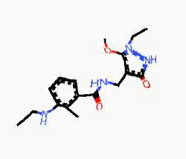 CCNc1cccc(C(=O)NCc2c(OC)n(CC)[nH]c2=O)c1C